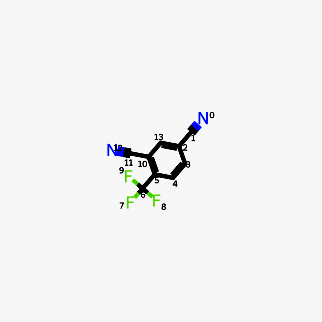 N#Cc1ccc(C(F)(F)F)c(C#N)c1